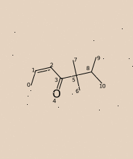 C/C=C\C(=O)C(C)(C)C(C)C